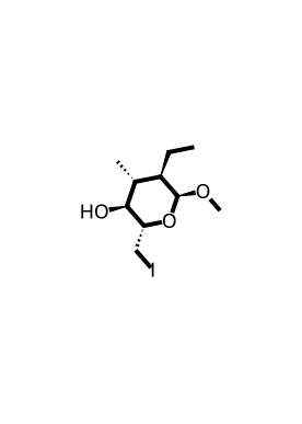 CC[C@H]1[C@@H](OC)O[C@H](CI)[C@@H](O)[C@@H]1C